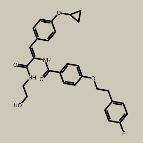 O=C(NCCO)/C(=C/c1ccc(OC2CC2)cc1)NC(=O)c1ccc(OCCc2ccc(F)cc2)cc1